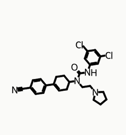 N#Cc1ccc(C2=CCC(N(CCN3CCCC3)C(=O)Nc3cc(Cl)cc(Cl)c3)CC2)cc1